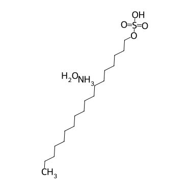 CCCCCCCCCCCCCCCCCCOS(=O)(=O)O.N.O